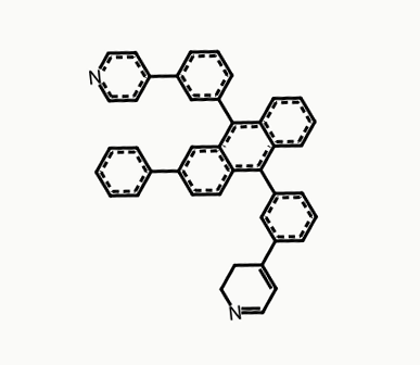 C1=NCCC(c2cccc(-c3c4ccccc4c(-c4cccc(-c5ccncc5)c4)c4cc(-c5ccccc5)ccc34)c2)=C1